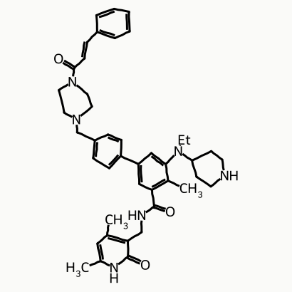 CCN(c1cc(-c2ccc(CN3CCN(C(=O)/C=C/c4ccccc4)CC3)cc2)cc(C(=O)NCc2c(C)cc(C)[nH]c2=O)c1C)C1CCNCC1